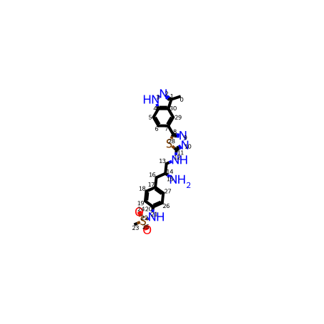 Cc1n[nH]c2ccc(-c3nnc(NCC(N)Cc4ccc(NS(C)(=O)=O)cc4)s3)cc12